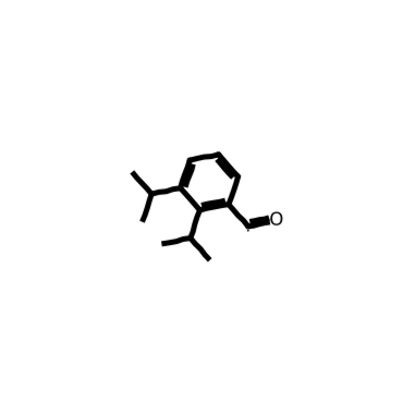 CC(C)c1cccc([C]=O)c1C(C)C